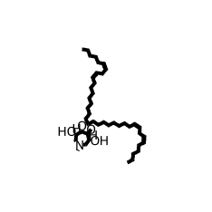 CCCCC/C=C\C/C=C\CCCCCCCCC1(CCCCCCCC/C=C\C/C=C\CCCCC)O[C@@H]2[C@H](O1)[C@@H](O)CN(C)C[C@H]2O